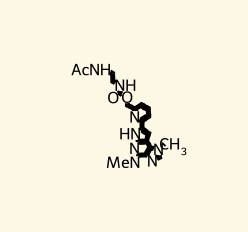 CNc1nc2[nH]c(-c3cccc(COC(=O)NCCNC(C)=O)n3)cc2c2c1ncn2C